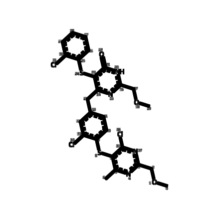 COCc1nc(C)c(Sc2ccc(Cc3nc(COC)[nH]c(=O)c3Sc3ccccc3Cl)cc2Cl)c(Cl)n1